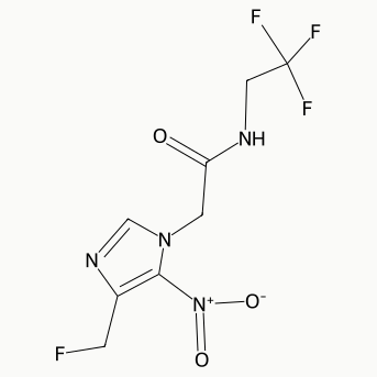 O=C(Cn1cnc(CF)c1[N+](=O)[O-])NCC(F)(F)F